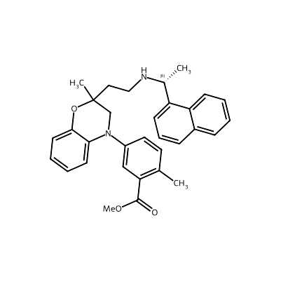 COC(=O)c1cc(N2CC(C)(CCN[C@H](C)c3cccc4ccccc34)Oc3ccccc32)ccc1C